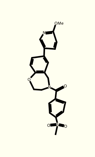 COc1ccc(-c2ccc3c(c2)CN(C(=O)c2ccc(S(C)(=O)=O)cc2)CCO3)cn1